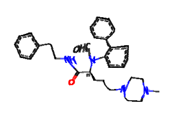 CN1CCN(CCC[C@@H](C(=O)NCCc2ccccc2)N(C=O)c2ccccc2-c2ccccc2)CC1